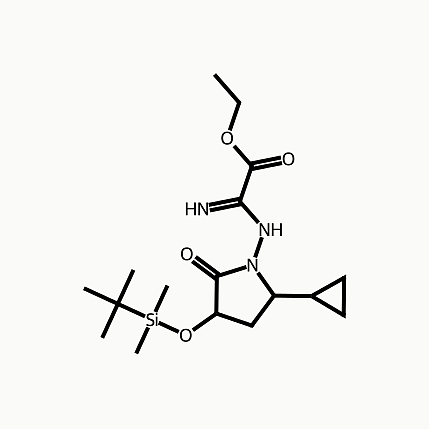 CCOC(=O)C(=N)NN1C(=O)C(O[Si](C)(C)C(C)(C)C)CC1C1CC1